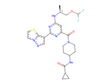 C[C@@H](COC(F)F)Nc1cc(C(=O)N2CCC(NC(=O)C3CC3)CC2)nc(-c2cnn3ccsc23)n1